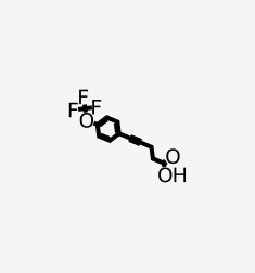 O=C(O)CCC#Cc1ccc(OC(F)(F)F)cc1